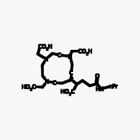 CCCNC(=O)CCC(C(=O)O)N1CCN(CC(=O)O)CCN(CC(=O)O)CCN(CC(=O)O)CC1